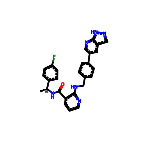 C[C@H](NC(=O)c1cccnc1NCc1ccc(-c2cnc3[nH]ncc3c2)cc1)c1ccc(F)cc1